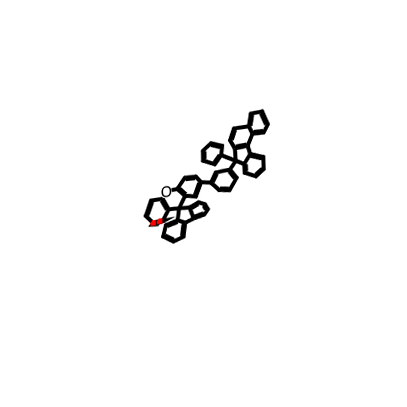 c1ccc(C2(c3cccc(-c4ccc5c(c4)C4(c6ccccc6-c6ccccc64)c4c(ccc6ccccc46)O5)c3)c3ccccc3-c3c2ccc2ccccc32)cc1